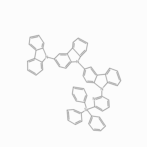 c1ccc([Si](c2ccccc2)(c2ccccc2)c2cccc(-n3c4ccccc4c4cc(-n5c6ccccc6c6cc(-n7c8ccccc8c8ccccc87)ccc65)ccc43)n2)cc1